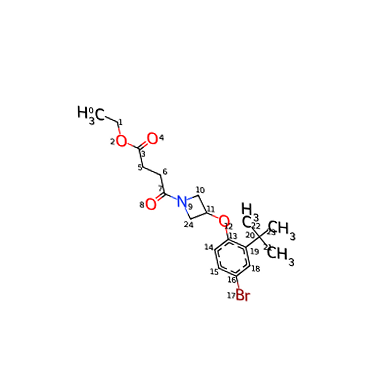 CCOC(=O)CCC(=O)N1CC(Oc2ccc(Br)cc2C(C)(C)C)C1